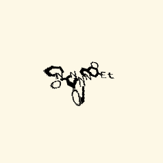 CCC1Cc2nc(N3CCOc4cc(C(=O)N5CCCCC5)cnc43)ccc2C2OC12